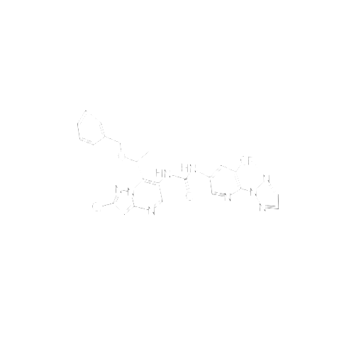 CC(OCc1ccccc1)c1c(NC(=O)Nc2cnc(-n3nccn3)c(C(F)(F)F)c2)cnc2cc(Cl)nn12